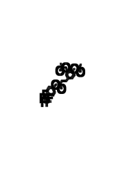 CC(=O)Oc1ccc(C=CC(=O)Oc2ccc(S(F)(F)(F)(F)F)cc2)cc1OC(C)=O